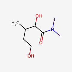 CC(CCO)C(O)C(=O)N(I)I